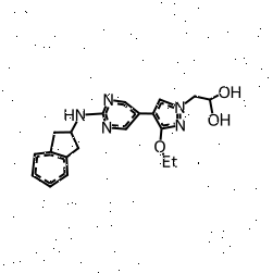 CCOc1nn(CC(O)O)cc1-c1cnc(NC2Cc3ccccc3C2)nc1